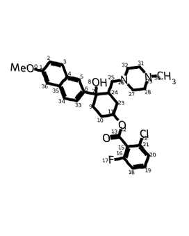 COc1ccc2cc(C3(O)CCC(OC(=O)c4c(F)cccc4Cl)CC3CN3CCN(C)CC3)ccc2c1